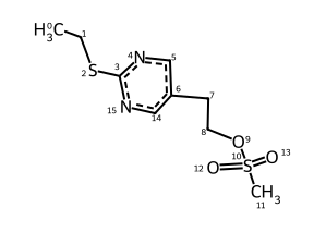 CCSc1ncc(CCOS(C)(=O)=O)cn1